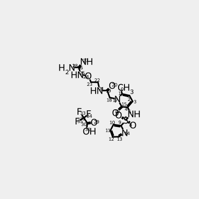 Cc1ccc(NS(=O)(=O)c2ccccn2)c(=O)n1CC(=O)NCCONC(=N)N.O=C(O)C(F)(F)F